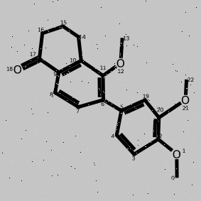 COc1ccc(-c2ccc3c(c2OC)CCCC3=O)cc1OC